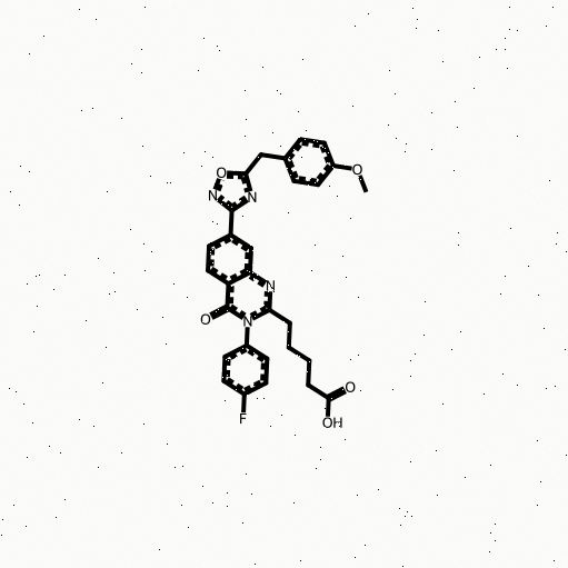 COc1ccc(Cc2nc(-c3ccc4c(=O)n(-c5ccc(F)cc5)c(CCCCC(=O)O)nc4c3)no2)cc1